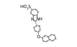 O=S(=O)(O)c1ccc2[nH]c(-c3ccc(Oc4ccc5ccccc5c4)cc3)nc2c1